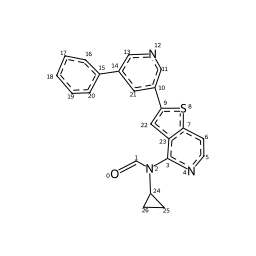 O=CN(c1nccc2sc(-c3cncc(-c4ccccc4)c3)cc12)C1CC1